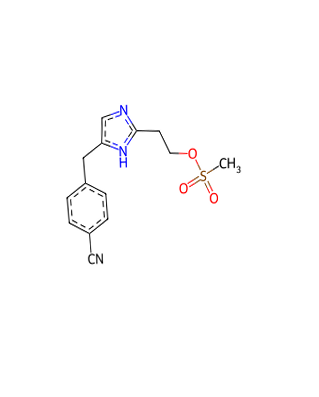 CS(=O)(=O)OCCc1ncc(Cc2ccc(C#N)cc2)[nH]1